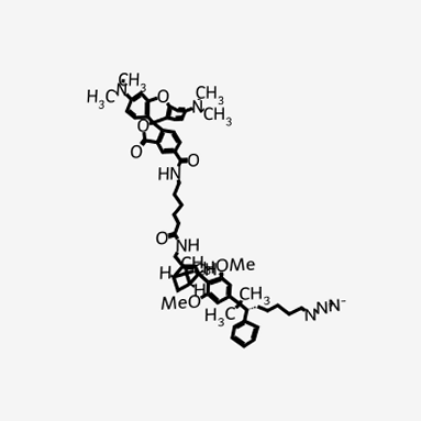 COc1cc(C(C)(C)[C@H](CCCCCN=[N+]=[N-])c2ccccc2)cc(OC)c1[C@H]1C=C(CNC(=O)CCCCCNC(=O)c2ccc3c(c2)C(=O)OC32c3ccc(N(C)C)cc3Oc3cc(N(C)C)ccc32)[C@H]2C[C@@H]1C2(C)C